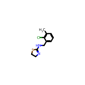 Cc1cccc(CNC2=NCCS2)c1Cl